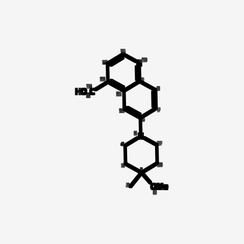 COC1(C)CCN(c2ccc3nccc(C(=O)O)c3c2)CC1